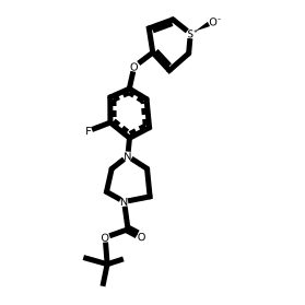 CC(C)(C)OC(=O)N1CCN(c2ccc(OC3=CC[S@+]([O-])C=C3)cc2F)CC1